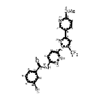 COc1ccc(-c2cc(C(F)(F)F)n(-c3ccc(NC(=O)c4cccc(Br)c4)nn3)n2)cn1